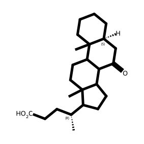 C[C@H](CCC(=O)O)C1CCC2C3C(=O)C[C@@H]4CCCCC4(C)C3CCC21C